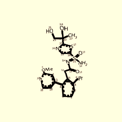 COc1cc(-c2cccc(C(C)C)c2CC(=O)N=S(N)(=O)c2cnc(C(C)(O)CO)s2)ccn1